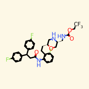 O=C(CC(c1ccc(F)cc1)c1ccc(F)cc1)Nc1cccc(F)c1CC[C@@H]1CN[C@H](CNC(=O)OCC(F)(F)F)CO1